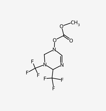 COC(=O)ON1C=NC(C(F)(F)F)N(C(F)(F)F)C1